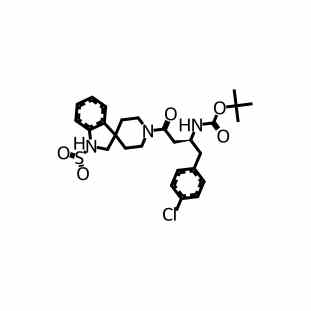 CC(C)(C)OC(=O)N[C@H](CC(=O)N1CCC2(CC1)CN([SH](=O)=O)c1ccccc12)Cc1ccc(Cl)cc1